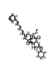 CCCN1C(=O)[C@@H](CC(=O)OC2CCCCC2)NC(=O)C12CCN(CCCCCCc1ccccc1)CC2